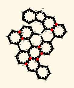 c1ccc(-c2ccc(-c3cccc4ccccc34)cc2N(c2ccccc2-c2cccc3cccc(-c4ccccc4)c23)c2cccc3oc4ccccc4c23)cc1